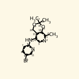 Cc1ncc(Nc2ccc(Br)cn2)c2c1OC(C)(C)OC2